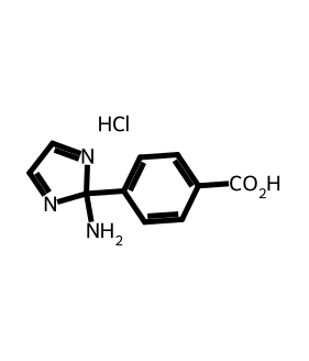 Cl.NC1(c2ccc(C(=O)O)cc2)N=CC=N1